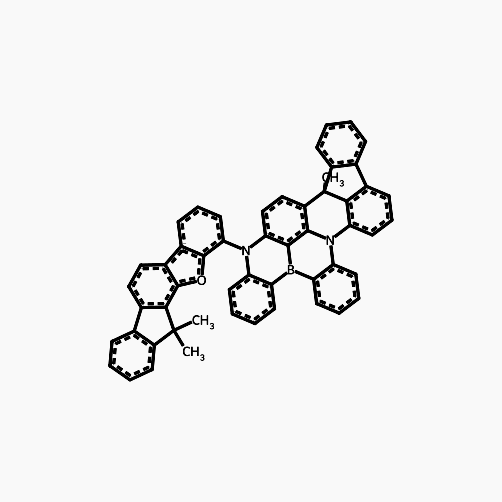 CC1(C)c2ccccc2-c2ccc3c(oc4c(N5c6ccccc6B6c7ccccc7N7c8cccc9c8C(C)(c8ccccc8-9)c8ccc5c6c87)cccc43)c21